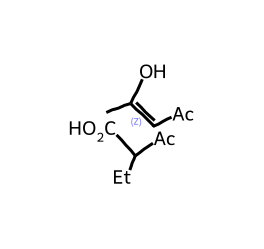 CC(=O)/C=C(/C)O.CCC(C(C)=O)C(=O)O